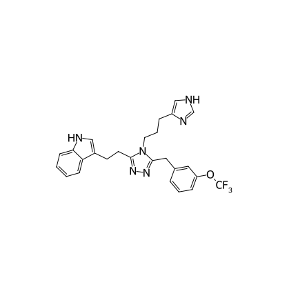 FC(F)(F)Oc1cccc(Cc2nnc(CCc3c[nH]c4ccccc34)n2CCCc2c[nH]cn2)c1